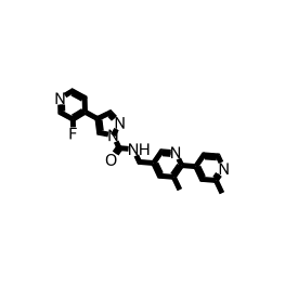 Cc1cc(-c2ncc(CNC(=O)n3cc(-c4ccncc4F)cn3)cc2C)ccn1